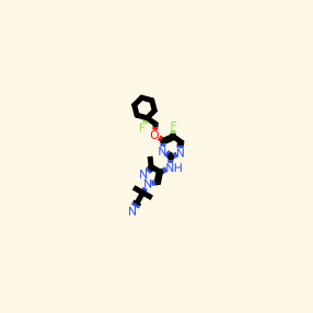 Cc1nn(C(C)(C)C#N)cc1Nc1ncc(F)c(OCC2(F)CCCCC2)n1